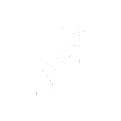 C[C@H](N1Cc2cc(-c3cccc(NS(C)(=O)=O)c3)cc(Cl)c2C1=O)C(F)(F)F